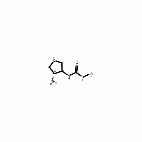 CC(C)(C)OC(=O)NC1COC[C@H]1N